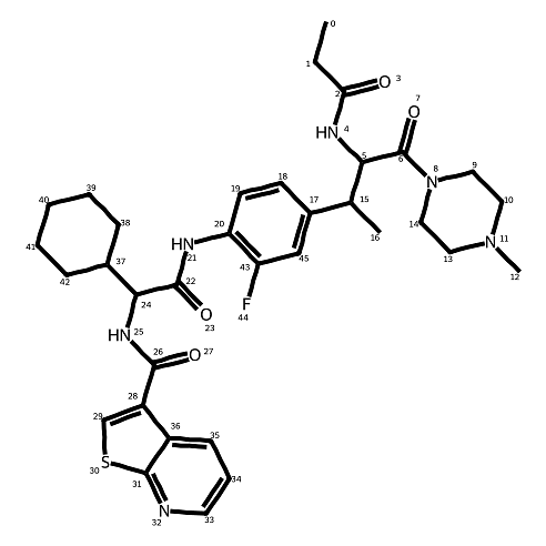 CCC(=O)NC(C(=O)N1CCN(C)CC1)C(C)c1ccc(NC(=O)C(NC(=O)c2csc3ncccc23)C2CCCCC2)c(F)c1